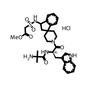 COC(=O)CS(=O)(=O)NC1CC2(CCN(C(=O)[C@@H](Cc3c[nH]c4ccccc34)NC(=O)C(C)(C)N)CC2)c2ccccc21.Cl